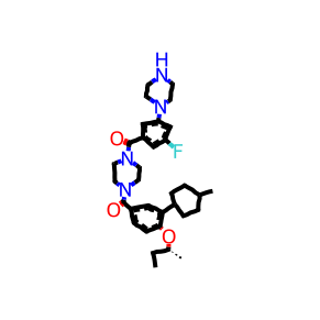 CC[C@@H](C)Oc1ccc(C(=O)N2CCN(C(=O)c3cc(F)cc(N4CCNCC4)c3)CC2)cc1C1CCC(C)CC1